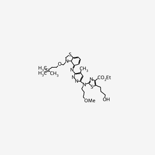 CCOC(=O)c1nc(N(CCCOC)c2cc(C)c(N=C3C=CC=C4SCN(COCC[Si](C)(C)C)C43)nn2)sc1CCCO